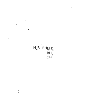 [BH4-].[BH4-].[BH4-].[BH4-].[C+4]